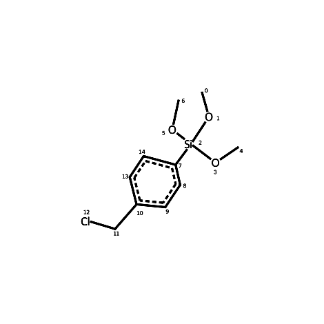 CO[Si](OC)(OC)c1ccc(CCl)cc1